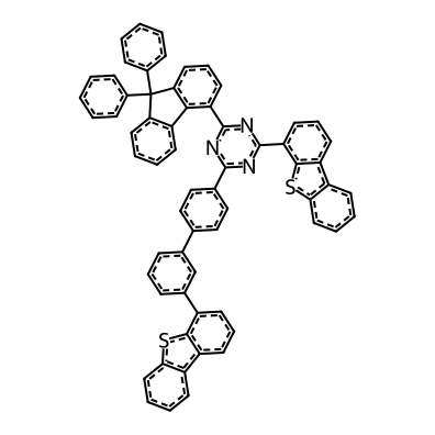 c1ccc(C2(c3ccccc3)c3ccccc3-c3c(-c4nc(-c5ccc(-c6cccc(-c7cccc8c7sc7ccccc78)c6)cc5)nc(-c5cccc6c5sc5ccccc56)n4)cccc32)cc1